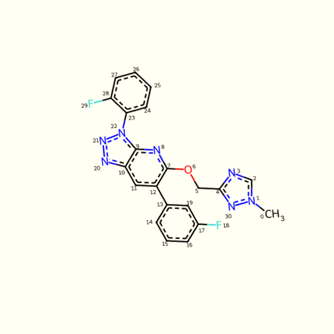 Cn1cnc(COc2nc3c(cc2-c2cccc(F)c2)nnn3-c2ccccc2F)n1